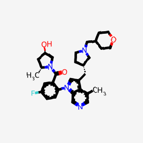 Cc1cncc2c1c(C[C@@H]1CCN(CC3CCOCC3)C1)cn2-c1ccc(F)cc1C(=O)N1C[C@H](O)C[C@H]1C